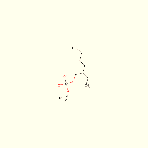 CCCCC(CC)CO[Si]([O-])([O-])[O-].[Li+].[Li+].[Li+]